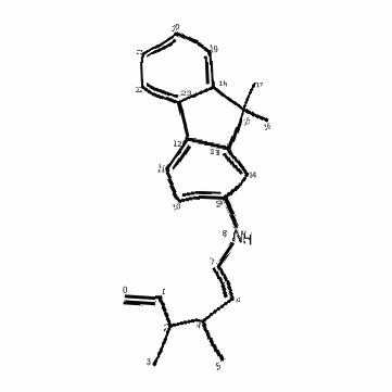 C=CC(C)C(C)/C=C/Nc1ccc2c(c1)C(C)(C)c1ccccc1-2